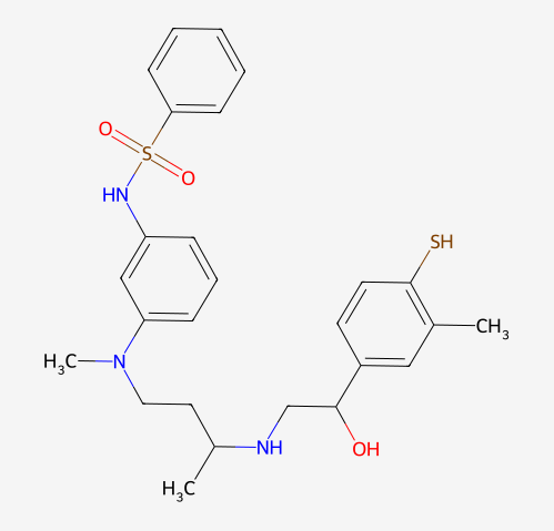 Cc1cc(C(O)CNC(C)CCN(C)c2cccc(NS(=O)(=O)c3ccccc3)c2)ccc1S